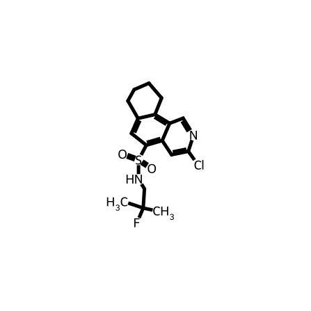 CC(C)(F)CNS(=O)(=O)c1cc2c(c3cnc(Cl)cc13)CCCC2